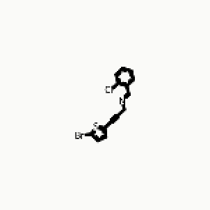 Clc1ccccc1C=NCC#Cc1ccc(Br)s1